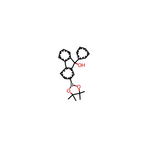 CC1(C)OB(c2ccc3c(c2)C(O)(c2ccccc2)c2ccccc2-3)OC1(C)C